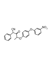 CC(Oc1ccc(Oc2cccc([N+](=O)[O-])c2)cc1)C(=O)C(C#N)c1ccccc1